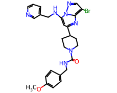 COc1ccc(CNC(=O)N2CCC(c3cc(NCc4cccnc4)n4ncc(Br)c4n3)CC2)cc1